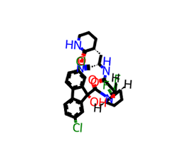 N#C[C@H](C[C@H]1CCCNC1=O)NC(=O)[C@@H]1[C@H]2CC[C@H](CC2(F)F)N1C(=O)C1(O)c2cc(Cl)ccc2-c2ccc(Cl)cc21